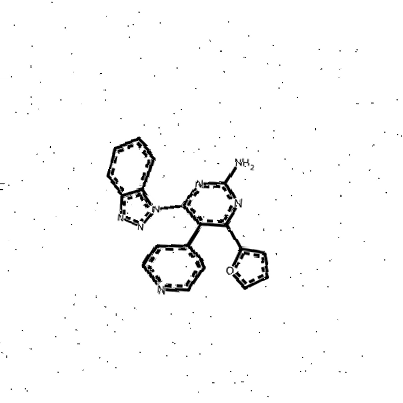 Nc1nc(-c2ccco2)c(-c2ccncc2)c(-n2nnc3ccccc32)n1